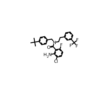 CC(C)(C)c1ccc(CN(CCc2cccc(C(F)(F)F)c2)C(=O)c2c(F)ccc(Cl)c2N)cc1